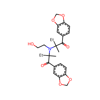 CCC(C)(C(=O)c1ccc2c(c1)OCO2)N(CCO)C(C)(CC)C(=O)c1ccc2c(c1)OCO2